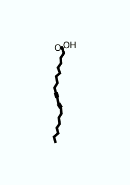 CCCCCCCC#CC#CCCCCCCCCC(=O)O